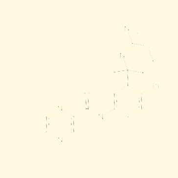 Cc1cnc(C(=O)Nc2ccc(Br)c(C3(C)CCSC(N)=N3)c2)cn1